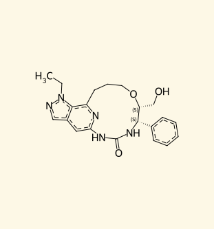 CCn1ncc2cc3nc(c21)CCCO[C@H](CO)[C@H](c1ccccc1)NC(=O)N3